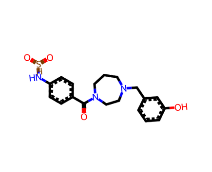 O=C(c1ccc(N[SH](=O)=O)cc1)N1CCCN(Cc2cccc(O)c2)CC1